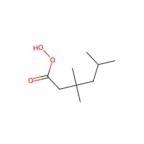 CC(C)CC(C)(C)CC(=O)OO